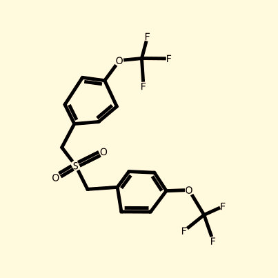 O=S(=O)(Cc1ccc(OC(F)(F)F)cc1)Cc1ccc(OC(F)(F)F)cc1